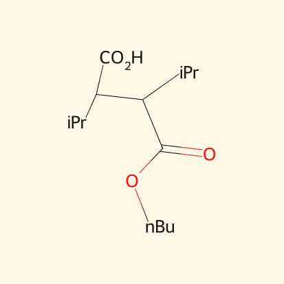 CCCCOC(=O)C(C(C)C)C(C(=O)O)C(C)C